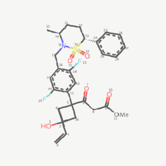 C=CC1(O)CC(C(=O)CC(=O)OC)(c2cc(F)c(CN3[C@@H](C)CC[C@H](c4ccccc4)S3(=O)=O)cc2F)C1